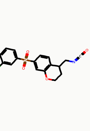 O=C=NCC1CCOc2cc(S(=O)(=O)c3cccc(F)c3)ccc21